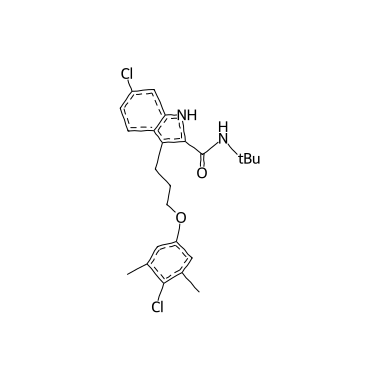 Cc1cc(OCCCc2c(C(=O)NC(C)(C)C)[nH]c3cc(Cl)ccc23)cc(C)c1Cl